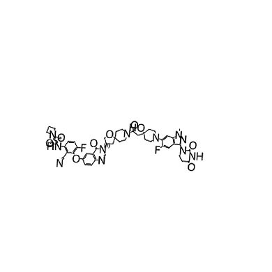 Cn1nc(N2CCC(=O)NC2=O)c2cc(F)c(N3CCC(O)(CC(=O)N4CCC5(CC4)C[C@@H](n4cnc6ccc(Oc7c(F)ccc(NS(=O)(=O)N8CCC8)c7C#N)cc6c4=O)CO5)CC3)cc21